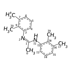 CC(=Nc1cccc(C)c1C)Nc1cccc(C)c1C